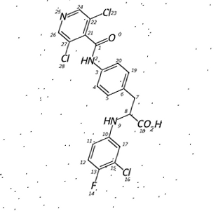 O=C(Nc1ccc(CC(Nc2ccc(F)c(Cl)c2)C(=O)O)cc1)c1c(Cl)cncc1Cl